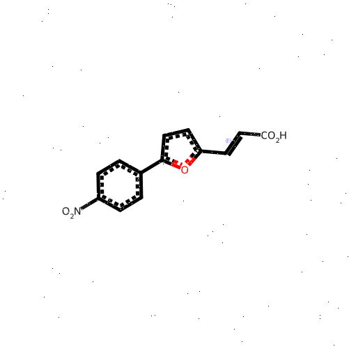 O=C(O)/C=C/c1ccc(-c2ccc([N+](=O)[O-])cc2)o1